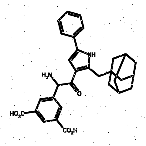 NC(C(=O)c1cc(-c2ccccc2)[nH]c1CC12CC3CC(CC(C3)C1)C2)c1cc(C(=O)O)cc(C(=O)O)c1